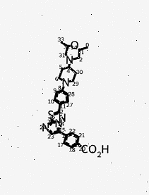 CC1CN(C2CCN(c3ccc(-c4nn5c(-c6ccc(C(=O)O)cc6)cnc5s4)cc3)CC2)CC(C)O1